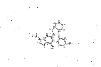 Cn1cnc2c(=O)n(-c3ccc(F)cc3)c(C3Cc4ccccc4C3)nc21